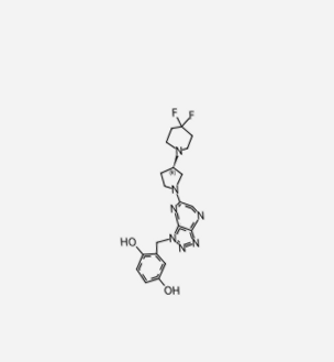 Oc1ccc(O)c(Cn2nnc3ncc(N4CC[C@@H](N5CCC(F)(F)CC5)C4)nc32)c1